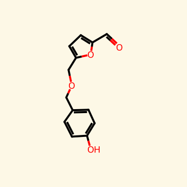 O=Cc1ccc(COCc2ccc(O)cc2)o1